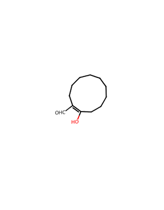 O=C/C1=C(\O)CCCCCCCCC1